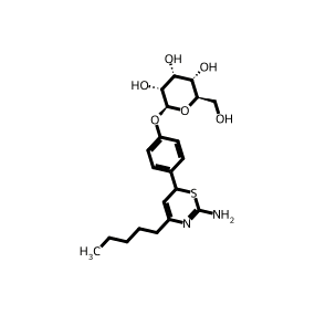 CCCCCC1=CC(c2ccc(O[C@@H]3O[C@H](CO)[C@@H](O)[C@@H](O)[C@H]3O)cc2)SC(N)=N1